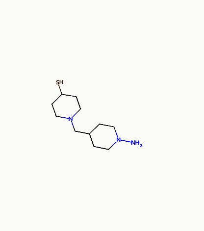 NN1CCC(CN2CCC(S)CC2)CC1